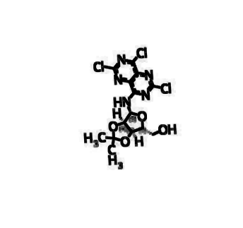 CC1(C)O[C@@H]2[C@H](O1)[C@@H](CO)O[C@@H]2Nc1nc(Cl)nc2c(Cl)nc(Cl)nc12